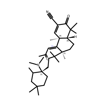 CC(=O)/C=C1/[C@@]2(C)C=C(C#N)C(=O)C(C)(C)[C@@H]2CC[C@@]1(C)C(C)(C)CC[C@@]1(N(C)C)CCC(C)(C)CC1C